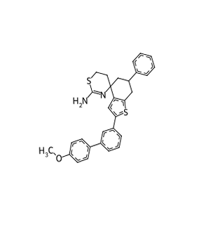 COc1ccc(-c2cccc(-c3cc4c(s3)CC(c3ccccc3)CC43CCSC(N)=N3)c2)cc1